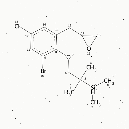 C[SiH](C)C(C)(C)COc1c(Br)cc(Cl)cc1CC1CO1